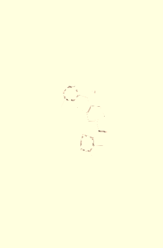 Cc1ccnc(N(N)C2=C(N)CN(C(=O)c3cccc(Cl)c3Cl)CC2)c1